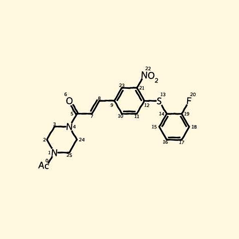 CC(=O)N1CCN(C(=O)C=Cc2ccc(Sc3ccccc3F)c([N+](=O)[O-])c2)CC1